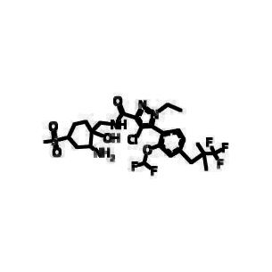 CCn1nc(C(=O)NCC2(O)CCC(S(C)(=O)=O)CC2N)c(Cl)c1-c1ccc(CC(C)(C)C(F)(F)F)cc1OC(F)F